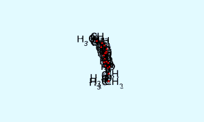 CC(C)(C)OC(=O)NCCN1C[C@@H]2C[C@@H]3CN(C(=O)N3OS(=O)(=O)ON3C(=O)N4C[C@H]3C[C@H]3CN(CCNC(=O)OC(C)(C)C)C(=O)[C@H]34)[C@@H]2C1=O